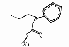 CCCN(C(=O)CO)c1ccccc1